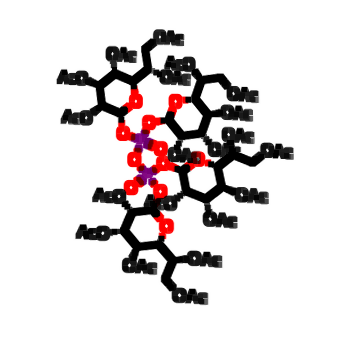 CC(=O)OC[C@H](OC(C)=O)[C@H]1O[C@H](OP(=O)(O[C@H]2O[C@H]([C@H](COC(C)=O)OC(C)=O)[C@@H](OC(C)=O)[C@H](OC(C)=O)[C@@H]2OC(C)=O)OP(=O)(O[C@H]2O[C@H]([C@H](COC(C)=O)OC(C)=O)[C@@H](OC(C)=O)[C@H](OC(C)=O)[C@@H]2OC(C)=O)O[C@H]2O[C@H]([C@H](COC(C)=O)OC(C)=O)[C@@H](OC(C)=O)[C@H](OC(C)=O)[C@@H]2OC(C)=O)[C@@H](OC(C)=O)[C@@H](OC(C)=O)[C@@H]1OC(C)=O